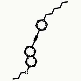 CCCCCCc1ccc(C#Cc2ccc3cc(OCCC)ccc3c2)cc1